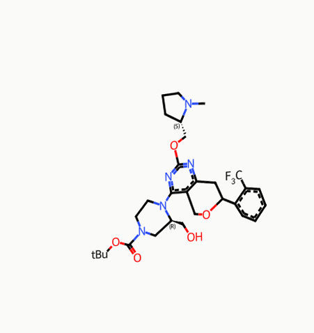 CN1CCC[C@H]1COc1nc2c(c(N3CCN(C(=O)OC(C)(C)C)C[C@@H]3CO)n1)COC(c1ccccc1C(F)(F)F)C2